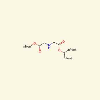 CCCCCCCCCOC(=O)CNCC(=O)OC(CCCCC)CCCCC